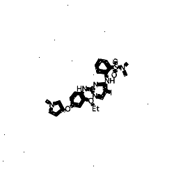 CCOc1cc(O[C@@H]2CCN(C)C2)ccc1Nc1ncc(I)c(Nc2ccccc2S(=O)(=O)N(C)C)n1